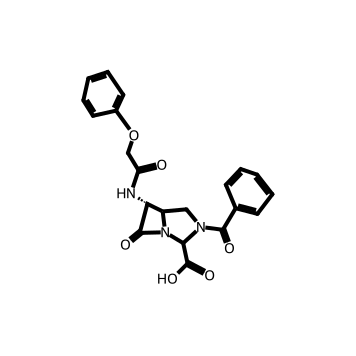 O=C(COc1ccccc1)N[C@H]1C(=O)N2C1CN(C(=O)c1ccccc1)C2C(=O)O